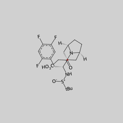 CC(C)(C)[S+]([O-])N[C@H](Cc1cc(F)c(F)cc1F)[C@@H]1C[C@H]2CC[C@@H](C1)N2C(=O)CC(=O)O